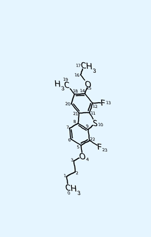 CCCCOc1ccc2c(sc3c(F)c(OCC)c(C)cc32)c1F